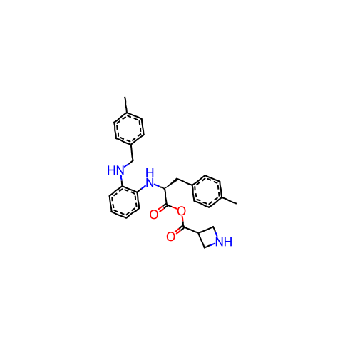 Cc1ccc(CNc2ccccc2N[C@@H](Cc2ccc(C)cc2)C(=O)OC(=O)C2CNC2)cc1